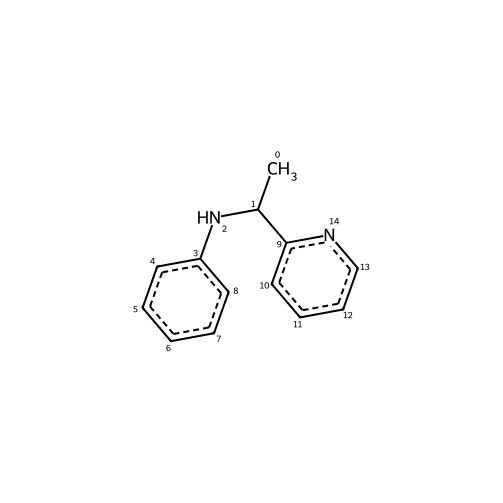 CC(Nc1ccccc1)c1ccccn1